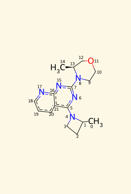 CC1CCN1c1nc(N2CCOC[C@@H]2C)nc2ncccc12